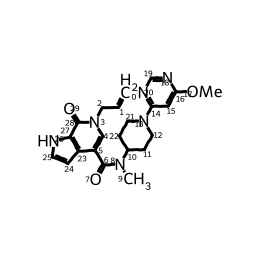 C=CCn1cc(C(=O)N(C)C2CCN(c3cc(OC)ncn3)CC2)c2cc[nH]c2c1=O